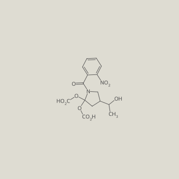 CC(O)C1CN(C(=O)c2ccccc2[N+](=O)[O-])C(OC(=O)O)(OC(=O)O)C1